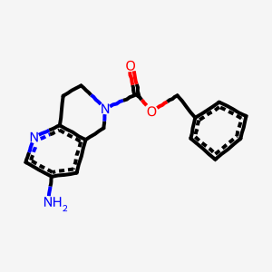 Nc1cnc2c(c1)CN(C(=O)OCc1ccccc1)CC2